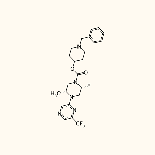 C[C@@H]1CN(C(=O)OC2CCN(Cc3ccccc3)CC2)[C@H](F)CN1c1cncc(C(F)(F)F)n1